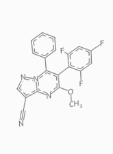 COc1nc2c(C#N)cnn2c(-c2ccccc2)c1-c1c(F)cc(F)cc1F